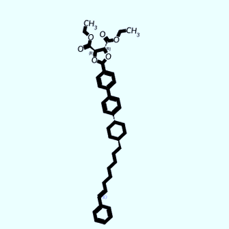 CCOC(=O)[C@@H]1OC(c2ccc(-c3ccc([C@H]4CC[C@H](CCCCCC/C=C/c5ccccc5)CC4)cc3)cc2)O[C@H]1C(=O)OCC